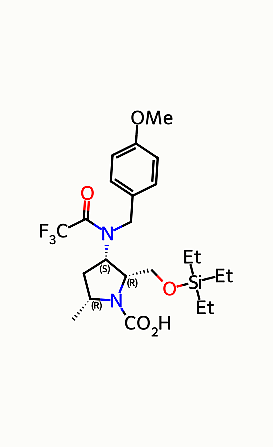 CC[Si](CC)(CC)OC[C@H]1[C@@H](N(Cc2ccc(OC)cc2)C(=O)C(F)(F)F)C[C@@H](C)N1C(=O)O